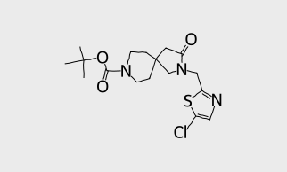 CC(C)(C)OC(=O)N1CCC2(CC1)CC(=O)N(Cc1ncc(Cl)s1)C2